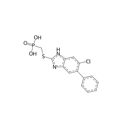 O=P(O)(O)CSc1nc2cc(-c3ccccc3)c(Cl)cc2[nH]1